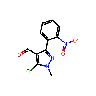 Cn1nc(-c2ccccc2[N+](=O)[O-])c(C=O)c1Cl